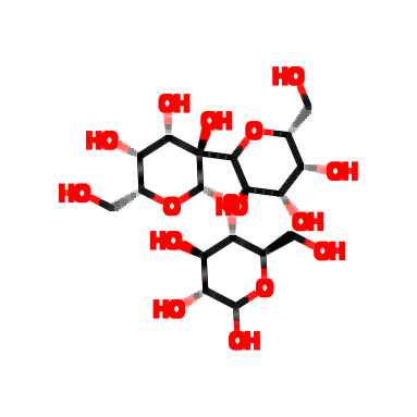 OC[C@H]1OC([C@]2(O)[C@H](O[C@H]3[C@H](O)[C@@H](O)C(O)O[C@@H]3CO)O[C@H](CO)[C@H](O)[C@@H]2O)[C@H](O)[C@@H](O)[C@H]1O